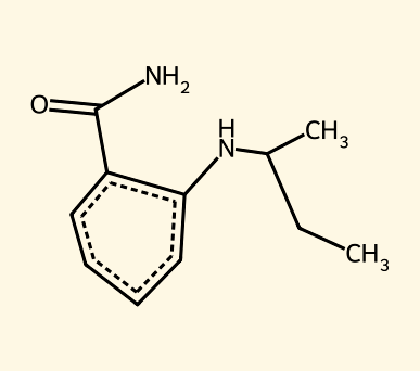 CCC(C)Nc1ccccc1C(N)=O